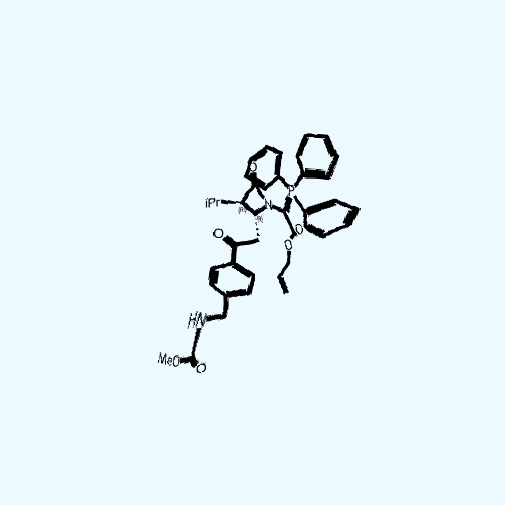 C=CCOC(=O)C(N1C(=O)[C@H](C(C)C)[C@H]1CC(=O)c1ccc(CNC(=O)OC)cc1)=P(c1ccccc1)(c1ccccc1)c1ccccc1